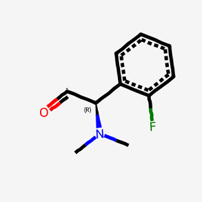 CN(C)[C@@H]([C]=O)c1ccccc1F